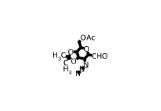 CC(=O)OCC1OC(C=O)C(N=[N+]=[N-])C2OC(C)(C)OC12